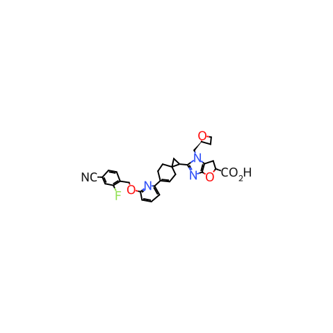 N#Cc1ccc(COc2cccc(C3=CCC4(CC3)CC4c3nc4c(n3C[C@@H]3CCO3)CC(C(=O)O)O4)n2)c(F)c1